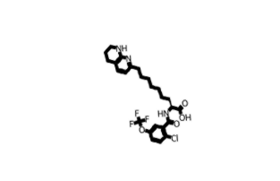 O=C(N[C@@H](CCCCCCCc1ccc2c(n1)NCCC2)C(=O)O)c1cc(OC(F)(F)F)ccc1Cl